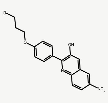 O=[N+]([O-])c1ccc2nc(-c3ccc(OCCCCl)cc3)c(O)cc2c1